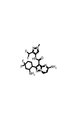 Cn1cc(NC(=O)c2c(C3CCC(F)(F)CC3N)nn3ccc(N)nc23)c(C(F)F)n1